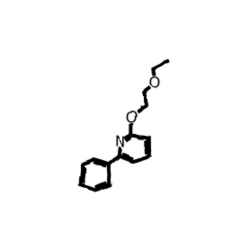 CCOCCOc1cccc(-c2ccccc2)n1